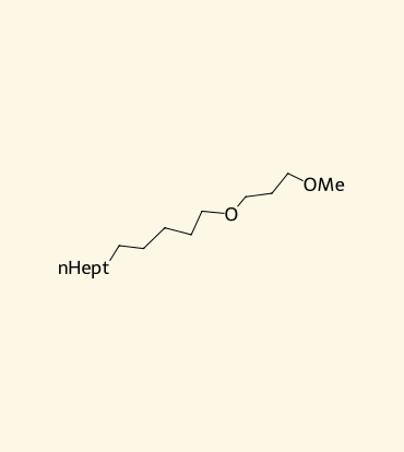 CCCCCCCCCCCCOCCCOC